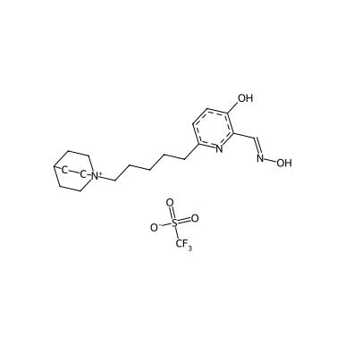 O=S(=O)([O-])C(F)(F)F.ON=Cc1nc(CCCCC[N+]23CCC(CC2)CC3)ccc1O